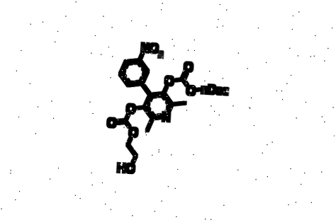 CCCCCCCCCCOC(=O)Oc1c(C)nc(C)c(OC(=O)OCCO)c1-c1cccc([N+](=O)[O-])c1